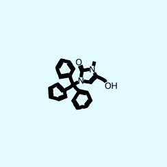 Cn1c(CO)cn(C(c2ccccc2)(c2ccccc2)c2ccccc2)c1=O